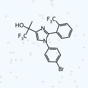 CC(O)(c1cn(-c2ccc(Br)cc2)c(-c2ccccc2C(F)(F)F)n1)C(F)(F)F